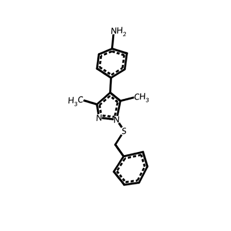 Cc1nn(SCc2ccccc2)c(C)c1-c1ccc(N)cc1